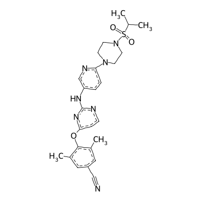 Cc1cc(C#N)cc(C)c1Oc1ccnc(Nc2ccc(N3CCN(S(=O)(=O)C(C)C)CC3)nc2)n1